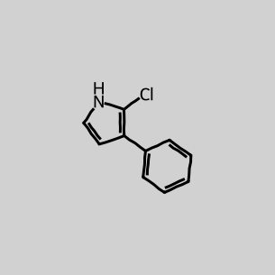 Clc1[nH]ccc1-c1ccccc1